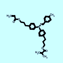 C=CC(=O)OCCCc1ccc(N(N=Cc2ccc(C)cc2)c2ccc(CCCOC(=O)C(=C)C)cc2)cc1